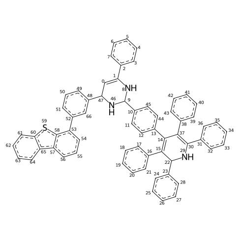 C1=C(c2ccccc2)NC(c2ccc(C3=C(c4ccccc4)C(c4ccccc4)NC(c4ccccc4)=C3c3ccccc3)cc2)NC1c1cccc(-c2cccc3c2sc2ccccc23)c1